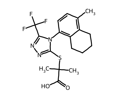 Cc1ccc(-n2c(SC(C)(C)C(=O)O)nnc2C(F)(F)F)c2c1CCCC2